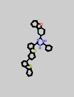 C1=CC(C2N=C(c3cccc4c3sc3ccc(-c5cccc6c5sc5ccccc56)cc34)NC(c3ccccc3)N2)Cc2c1oc1ccccc21